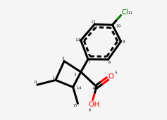 CC1CC(C(=O)O)(c2ccc(Cl)cc2)C1C